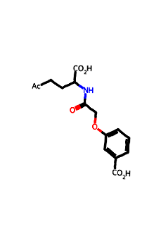 CC(=O)CCC(NC(=O)COc1cccc(C(=O)O)c1)C(=O)O